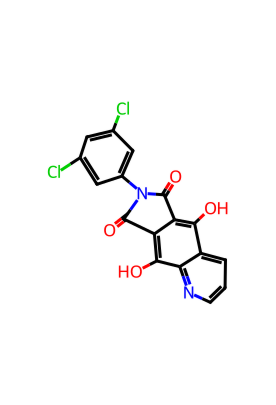 O=C1c2c(c(O)c3ncccc3c2O)C(=O)N1c1cc(Cl)cc(Cl)c1